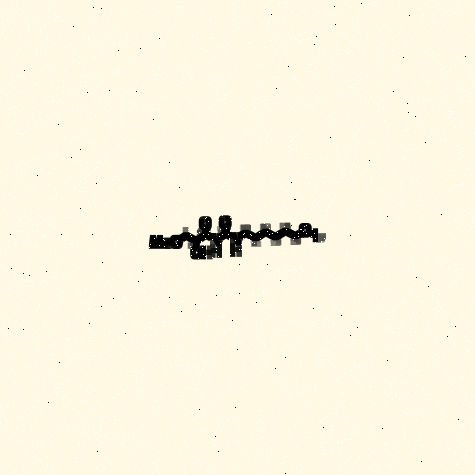 COCC(O)C(=O)NC(=O)NCCCCCCOI